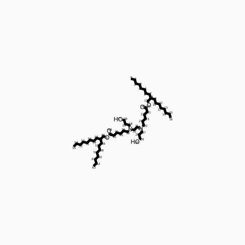 CCCCCCCCC(CCCCCCCC)COC(=O)CCCCCN(CCCO)CCN(CCCO)CCCCCC(=O)OCC(CCCCCCCC)CCCCCCCC